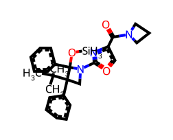 CC(C)(C)C1(c2ccccc2)CN(c2nc(C(=O)N3CCC3)co2)C1(O[SiH3])c1ccccc1